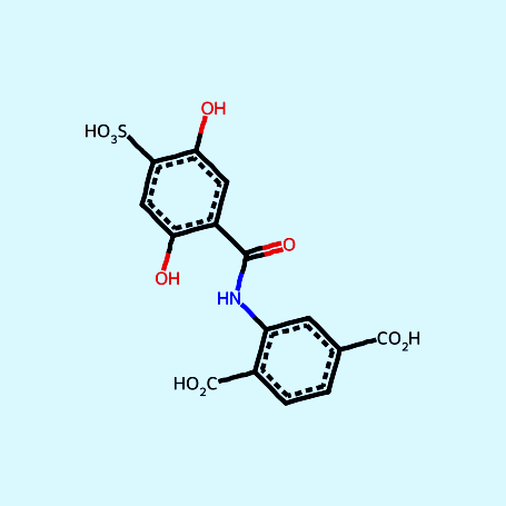 O=C(O)c1ccc(C(=O)O)c(NC(=O)c2cc(O)c(S(=O)(=O)O)cc2O)c1